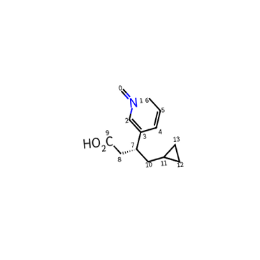 C=N/C=C(\C=C/C)[C@@H](CC(=O)O)CC1CC1